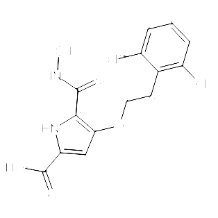 CNC(=O)c1[nH]c(C(=O)O)cc1OCCc1c(Cl)cccc1Cl